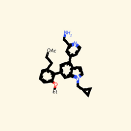 CCOc1cccc(CCOC(C)=O)c1-c1cc(-c2ccnc(CN)c2)c2ccn(CC3CC3)c2c1